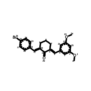 COc1cc(C=C2CCCC(=Cc3ccc(Br)cc3)C2=O)cc(OC)c1